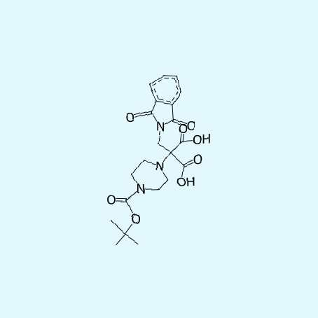 CC(C)(C)OC(=O)N1CCN(C(CN2C(=O)c3ccccc3C2=O)(C(=O)O)C(=O)O)CC1